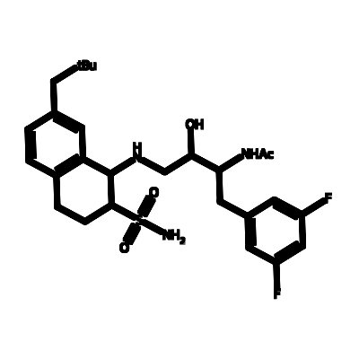 CC(=O)NC(Cc1cc(F)cc(F)c1)C(O)CNC1c2cc(CC(C)(C)C)ccc2CCC1S(N)(=O)=O